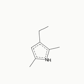 CCc1cc(C)[nH]c1C